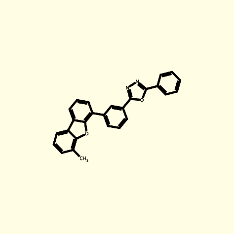 Cc1cccc2c1oc1c(-c3cccc(-c4nnc(-c5ccccc5)o4)c3)cccc12